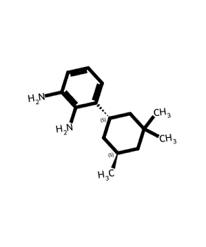 C[C@H]1C[C@H](c2cccc(N)c2N)CC(C)(C)C1